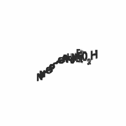 CCC(CC)(CCNc1cccc(C=Cc2cccc(COCCCCc3ccc(OCCCn4ccnc4)cc3)n2)c1)C(=O)O